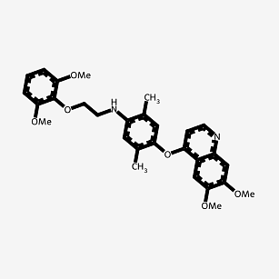 COc1cc2nccc(Oc3cc(C)c(NCCOc4c(OC)cccc4OC)cc3C)c2cc1OC